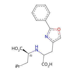 CC(C)C[C@H](NC(Cc1coc(-c2ccccc2)n1)C(=O)O)C(=O)O